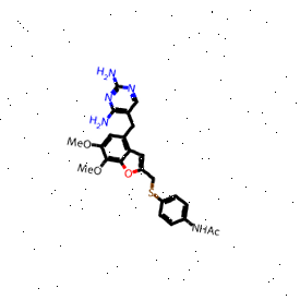 COc1cc(Cc2cnc(N)nc2N)c2cc(CSc3ccc(NC(C)=O)cc3)oc2c1OC